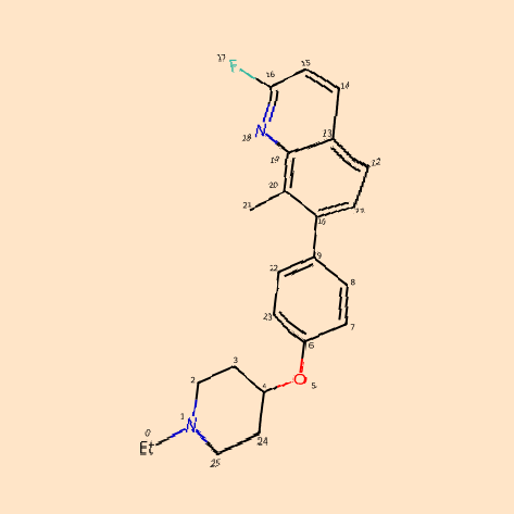 CCN1CCC(Oc2ccc(-c3ccc4ccc(F)nc4c3C)cc2)CC1